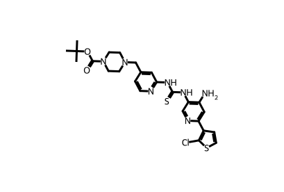 CC(C)(C)OC(=O)N1CCN(Cc2ccnc(NC(=S)Nc3cnc(-c4ccsc4Cl)cc3N)c2)CC1